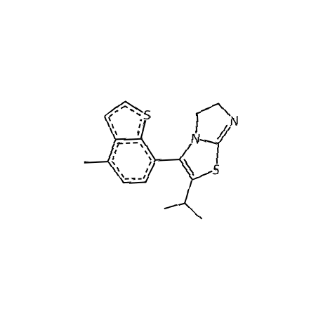 Cc1ccc(C2=C(C(C)C)SC3=NCCN32)c2sccc12